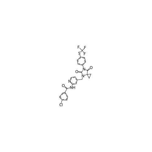 O=C(Nc1cc(CN2C(=O)N(c3ccc(SC(F)(F)F)cc3)C(=O)C23CC3)ccn1)c1ccc(Cl)cc1